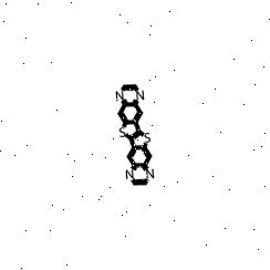 c1cnc2cc3c(cc2n1)sc1c2cc4nccnc4cc2sc31